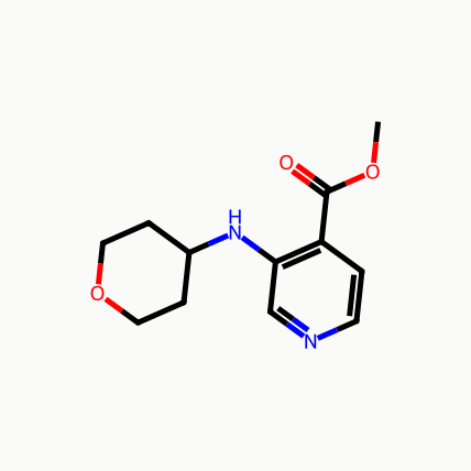 COC(=O)c1ccncc1NC1CCOCC1